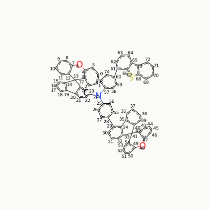 c1ccc2c(c1)Oc1ccccc1C21c2ccccc2-c2ccc(N(c3ccc(-c4cccc5c4-c4ccccc4C54c5ccccc5Oc5ccccc54)cc3)c3ccc(-c4cccc5c4sc4ccccc45)cc3)cc21